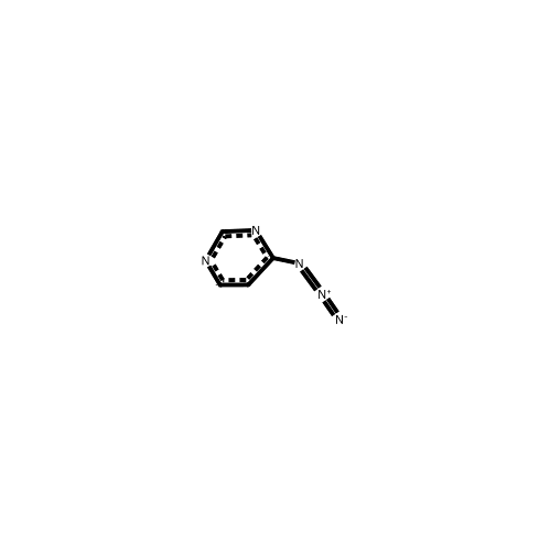 [N-]=[N+]=Nc1c[c]ncn1